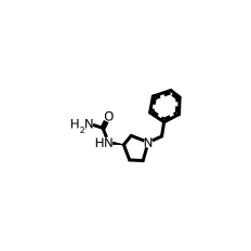 NC(=O)N[C@@H]1CCN(Cc2ccccc2)C1